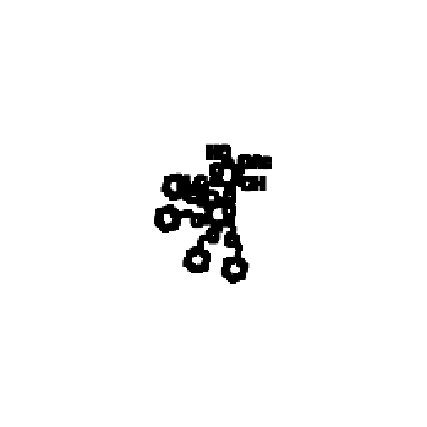 C=CC[C@]1(O[C@@H]2[C@@H](O)[C@@H](OC(C)=O)[C@H](O)O[C@H]2C)O[C@H](COCc2ccccc2)[C@@H](OCc2ccccc2)[C@H](OCc2ccccc2)[C@H]1OCc1ccccc1